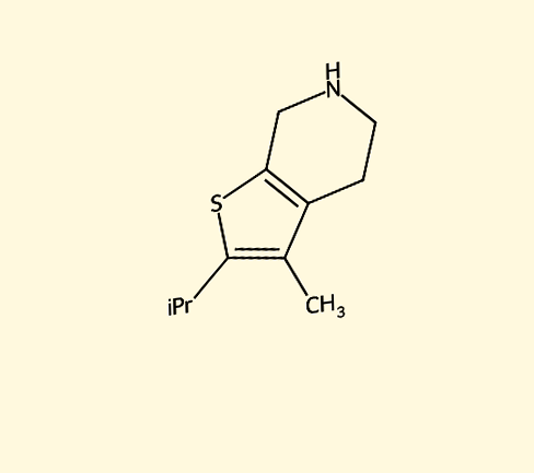 Cc1c(C(C)C)sc2c1CCNC2